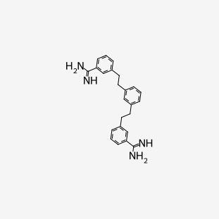 N=C(N)c1cccc(CCc2cccc(CCc3cccc(C(=N)N)c3)c2)c1